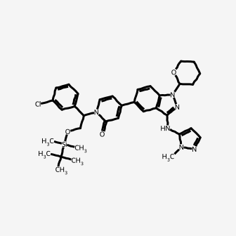 Cn1nccc1Nc1nn(C2CCCCO2)c2ccc(-c3ccn(C(CO[Si](C)(C)C(C)(C)C)c4cccc(Cl)c4)c(=O)c3)cc12